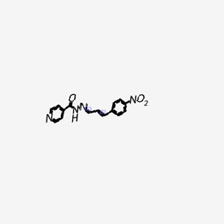 O=C(N/N=C/C=C/c1ccc([N+](=O)[O-])cc1)c1ccncc1